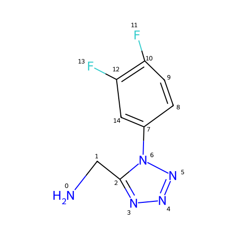 NCc1nnnn1-c1ccc(F)c(F)c1